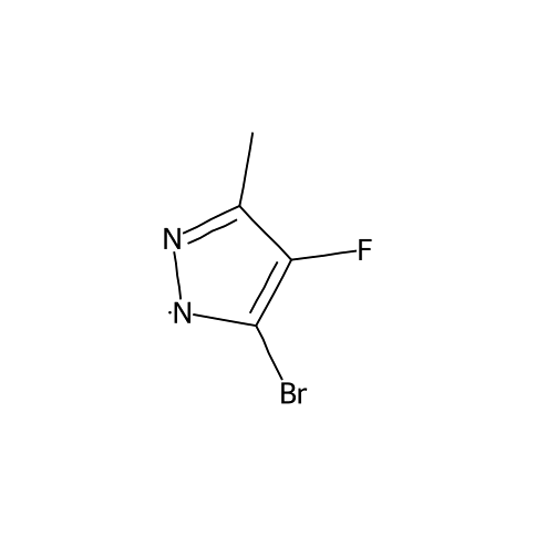 CC1=N[N]C(Br)=C1F